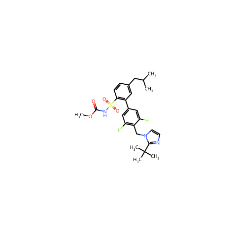 COC(=O)NS(=O)(=O)c1ccc(CC(C)C)cc1-c1cc(F)c(Cn2ccnc2C(C)(C)C)c(F)c1